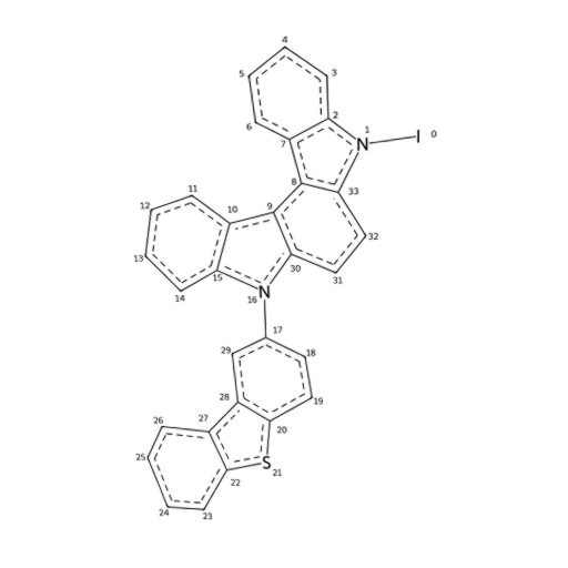 In1c2ccccc2c2c3c4ccccc4n(-c4ccc5sc6ccccc6c5c4)c3ccc21